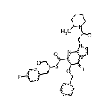 CC1CCCCN1C(=O)Cn1ccn2c(=O)c(OCc3ccccc3)c(C(=O)S[C@H](C=O)Cc3ccc(F)cc3)nc12